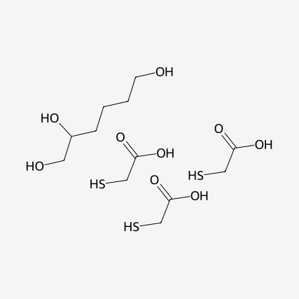 O=C(O)CS.O=C(O)CS.O=C(O)CS.OCCCCC(O)CO